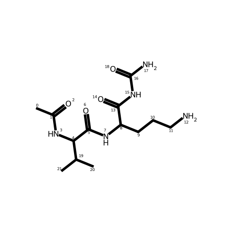 CC(=O)NC(C(=O)NC(CCCN)C(=O)NC(N)=O)C(C)C